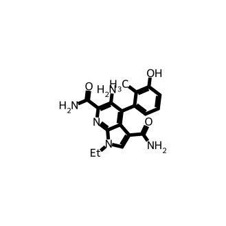 CCn1cc(C(N)=O)c2c(-c3cccc(O)c3C)c(N)c(C(N)=O)nc21